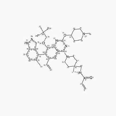 C=CC(=O)N1CC2(CCN(c3nc(OC4CCN(C)CC4)nc4c(OCC(C)(F)F)c(-c5c(C)ccc6[nH]ncc56)c(C=C)cc34)CC2)C1